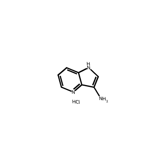 Cl.Nc1c[nH]c2cccnc12